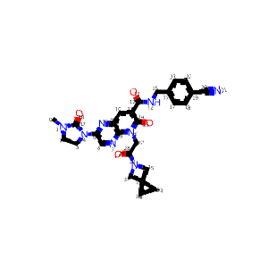 CN1CCN(c2cnc3c(cc(C(=O)NCc4ccc(C#N)cc4)c(=O)n3CC(=O)N3CC4(CC4)C3)n2)C1=O